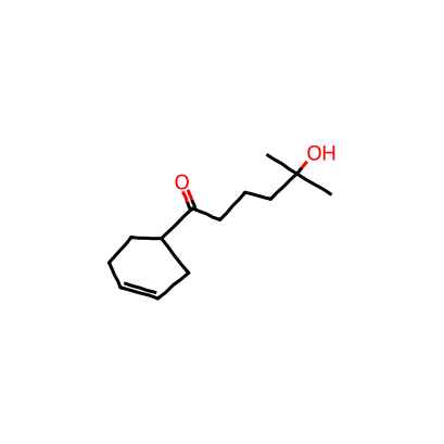 CC(C)(O)CCCC(=O)C1CC=CCC1